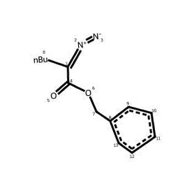 CCCCC(=[N+]=[N-])C(=O)OCc1ccccc1